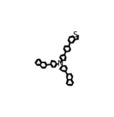 c1ccc2cc(-c3ccc(N(c4ccc(-c5ccc(-c6ccc7sccc7c6)cc5)cc4)c4ccc(-c5ccc6ccccc6c5)cc4)cc3)ccc2c1